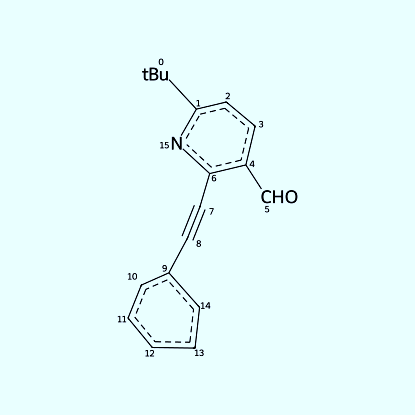 CC(C)(C)c1ccc(C=O)c(C#Cc2ccccc2)n1